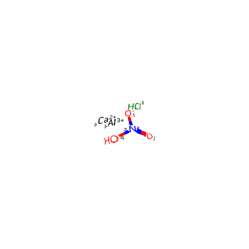 Cl.O=[N+]([O-])O.[Al+3].[Ca+2]